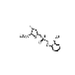 CCOC(=O)C1SC(NC(=O)COc2ccccc2OCC)CC1C